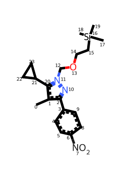 Cc1c(-c2ccc([N+](=O)[O-])cc2)nn(COCC[Si](C)(C)C)c1C1CC1